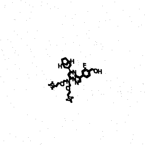 C[Si](C)(C)CCOCN(COCC[Si](C)(C)C)c1cc([C@H]2C[C@@H]3CC[C@@H](C3)C2)nc2c(-c3ccc(CO)c(F)c3)cnn12